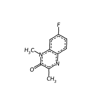 Cc1nc2ccc(F)cc2n(C)c1=O